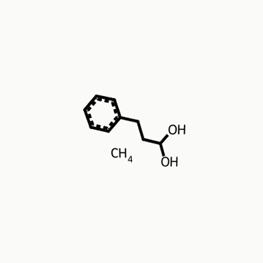 C.OC(O)CCc1ccccc1